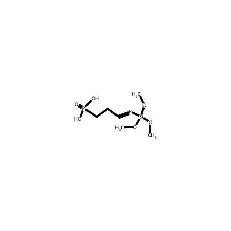 CO[Si](OC)(OC)P=CCCP(=O)(O)O